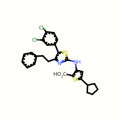 O=C(O)c1sc(C2CCCC2)cc1Nc1nc(CCc2ccccc2)c(-c2ccc(Cl)c(Cl)c2)s1